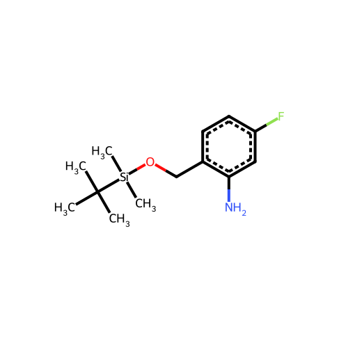 CC(C)(C)[Si](C)(C)OCc1ccc(F)cc1N